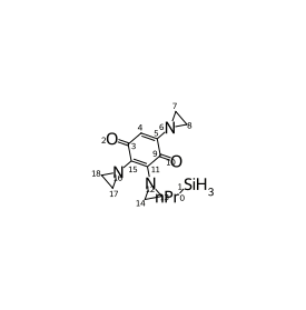 CCC[SiH3].O=C1C=C(N2CC2)C(=O)C(N2CC2)=C1N1CC1